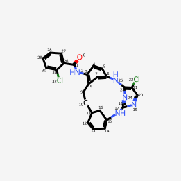 O=C(Nc1ccc2cc1CCC1C=CC=C(C1)Nc1ncc(Cl)c(n1)N2)c1ccccc1Cl